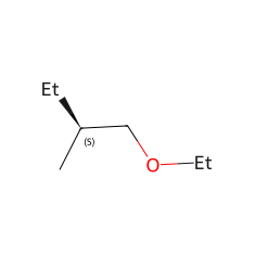 CCOC[C@@H](C)CC